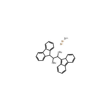 CCCCC(C1=c2ccccc2=C2C=CC=CC21)C(CCCC)C1c2ccccc2-c2ccccc21.[Br-].[Br-].[Zr+2]